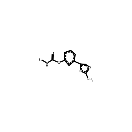 CCNC(=O)Oc1cccc(-c2csc(N)n2)c1